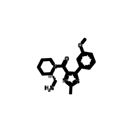 COc1cccc(-c2sc(C)nc2C(=O)N2CCCC[C@H]2CN)c1